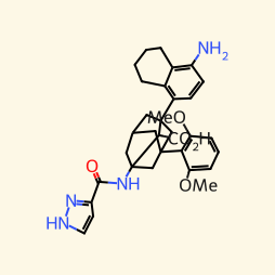 COc1cccc(OC)c1C12CC3CC(NC(=O)c4cc[nH]n4)(C1)C(C(=O)O)C(c1ccc(N)c4c1CCCC4)(C3)C2